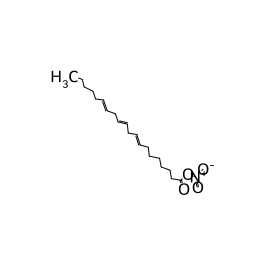 CCCCCC=CCC=CCC=CCCCCCCC(=O)O[N+](=O)[O-]